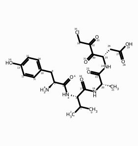 CC(C)[C@H](NC(=O)[C@@H](N)Cc1ccc(O)cc1)C(=O)N[C@@H](C)C(=O)N[C@@H](CC(=O)O)C(=O)C(=O)CCl